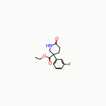 CCOC(=O)C1(c2cccc(F)c2)CCC(=O)NC1